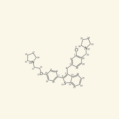 Clc1cc(Cc2c(-c3ccc(OCCN4CCCC4)cc3)sc3ccccc23)ccc1CN1CCCC1